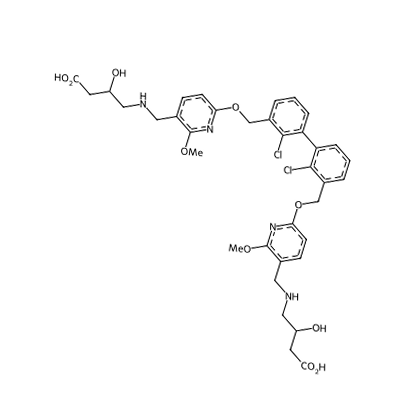 COc1nc(OCc2cccc(-c3cccc(COc4ccc(CNCC(O)CC(=O)O)c(OC)n4)c3Cl)c2Cl)ccc1CNCC(O)CC(=O)O